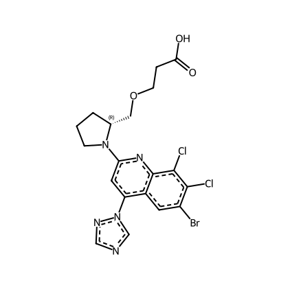 O=C(O)CCOC[C@H]1CCCN1c1cc(-n2cncn2)c2cc(Br)c(Cl)c(Cl)c2n1